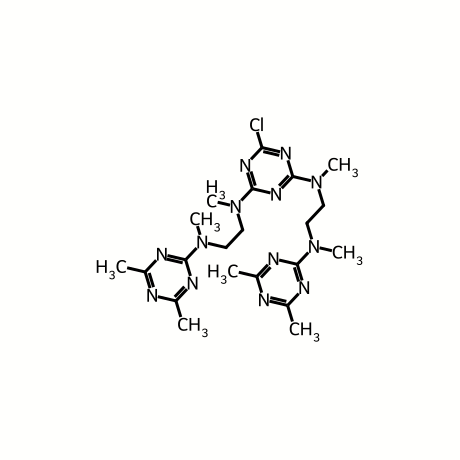 Cc1nc(C)nc(N(C)CCN(C)c2nc(Cl)nc(N(C)CCN(C)c3nc(C)nc(C)n3)n2)n1